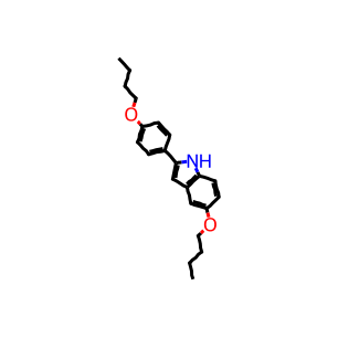 CCCCOc1ccc(-c2cc3cc(OCCCC)ccc3[nH]2)cc1